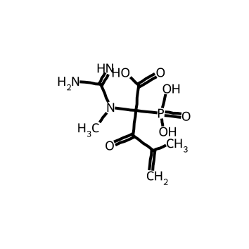 C=C(C)C(=O)C(C(=O)O)(N(C)C(=N)N)P(=O)(O)O